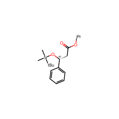 CC(C)OC(=O)C[C@@H](O[Si](C)(C)C(C)(C)C)c1ccccc1